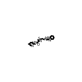 Cc1ccc(CNC(=O)c2csc(CCNCc3nc4ccccc4[nH]3)n2)nc1